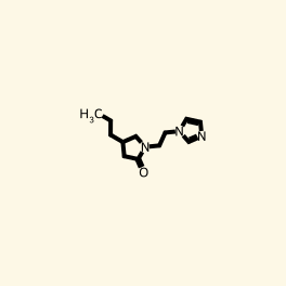 CCCC1CC(=O)N(CCn2ccnc2)C1